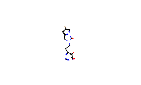 O=C1N(CCc2nc[nH]c(=O)c2O)Cc2cc(Br)cn21